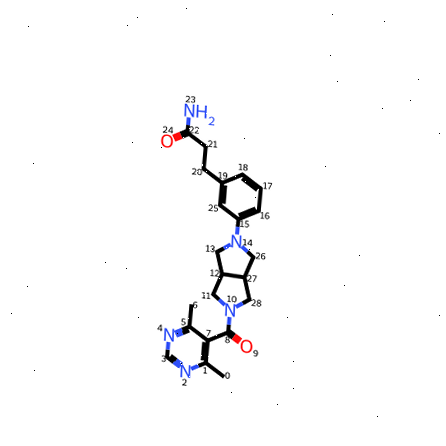 Cc1ncnc(C)c1C(=O)N1CC2CN(c3cccc(CCC(N)=O)c3)CC2C1